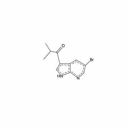 CC(C)C(=O)c1c[nH]c2ncc(Br)cc12